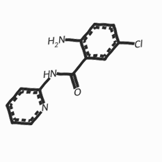 Nc1ccc(Cl)cc1C(=O)Nc1ccccn1